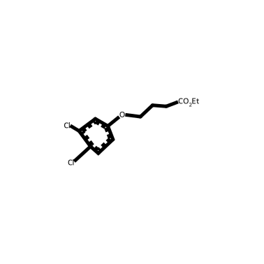 CCOC(=O)CCCOc1ccc(Cl)c(Cl)c1